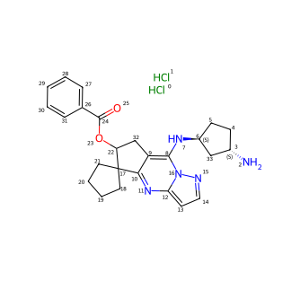 Cl.Cl.N[C@H]1CC[C@H](Nc2c3c(nc4ccnn24)C2(CCCC2)C(OC(=O)c2ccccc2)C3)C1